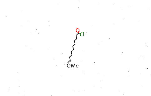 COCCCCCCCCCCCC(=O)Cl